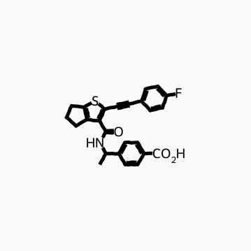 CC(NC(=O)c1c(C#Cc2ccc(F)cc2)sc2c1CCC2)c1ccc(C(=O)O)cc1